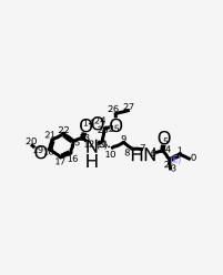 C/C=C(\C)C(=O)NCCCC[C@H](NC(=O)c1ccc(OC)cc1)C(=O)OCC